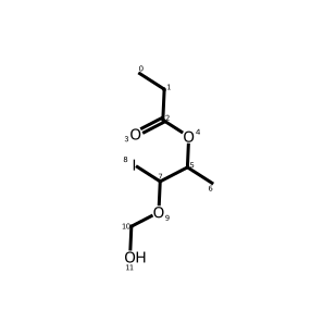 CCC(=O)OC(C)C(I)OCO